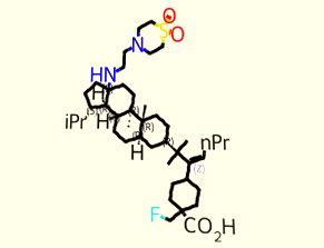 CCC/C=C(/C1CCC(CF)(C(=O)O)CC1)C(C)(C)[C@@H]1CC[C@]2(C)[C@H](CC[C@@H]3[C@H]4[C@H](C(C)C)CC[C@]4(NCCN4CCS(=O)(=O)CC4)CC[C@]32C)C1